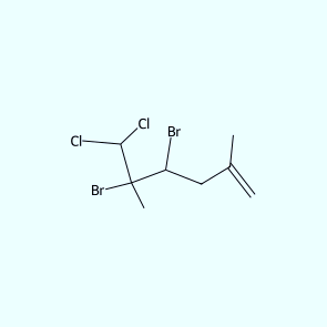 C=C(C)CC(Br)C(C)(Br)C(Cl)Cl